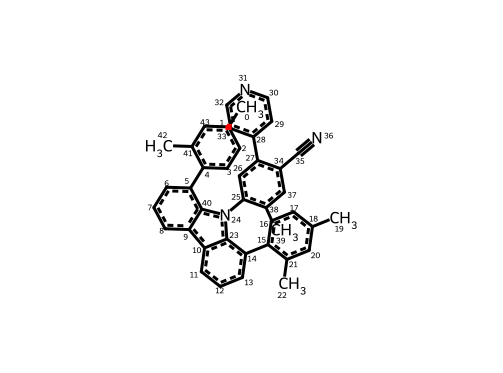 Cc1ccc(-c2cccc3c4cccc(-c5ccc(C)cc5C)c4n(-c4cc(-c5ccncc5)c(C#N)cc4C)c23)c(C)c1